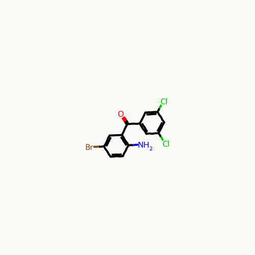 Nc1ccc(Br)cc1C(=O)c1cc(Cl)cc(Cl)c1